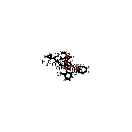 CC1(C(=O)C(=O)NC(=O)c2ccc(NC(=O)N3C4CCC3CC(OCc3c(-c5c(Cl)cccc5Cl)noc3C3CC3)C4)cc2-c2cccnc2)CC1